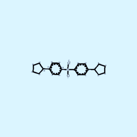 [Cl][Ti]([Cl])([c]1ccc(C2CCCC2)cc1)[c]1ccc(C2CCCC2)cc1